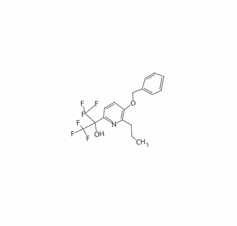 CCCc1nc(C(O)(C(F)(F)F)C(F)(F)F)ccc1OCc1ccccc1